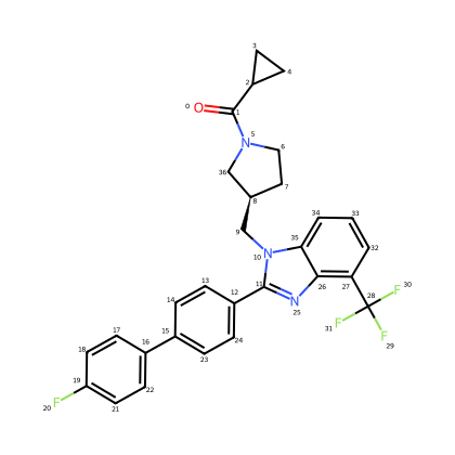 O=C(C1CC1)N1CC[C@@H](Cn2c(-c3ccc(-c4ccc(F)cc4)cc3)nc3c(C(F)(F)F)cccc32)C1